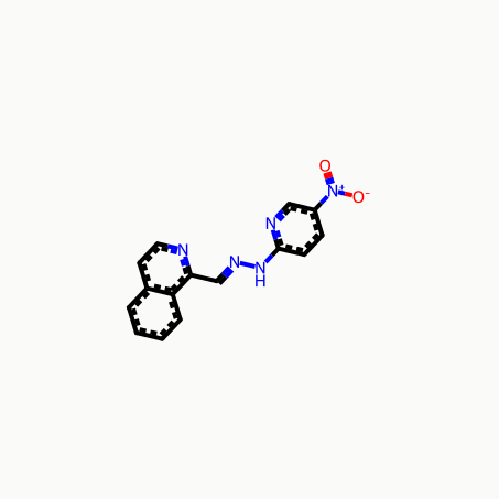 O=[N+]([O-])c1ccc(NN=Cc2nccc3ccccc23)nc1